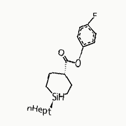 CCCCCCC[Si@H]1CC[C@H](C(=O)Oc2ccc(F)cc2)CC1